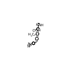 CC[C@H]1CN(c2ncc(-c3ncc[nH]3)cc2Cl)CCN1C1CCN(Cc2ccc(-n3cncn3)cc2)CC1